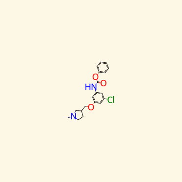 CN1CCC(COc2cc(Cl)cc(NC(=O)Oc3ccccc3)c2)C1